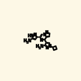 Nc1cc(-c2cn3nccc3c(-c3cn(C4CCC4)nc3N)n2)n[nH]1